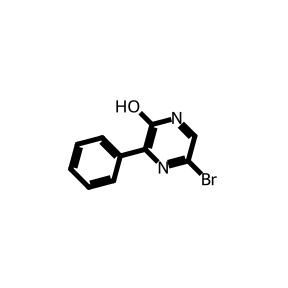 Oc1ncc(Br)nc1-c1ccccc1